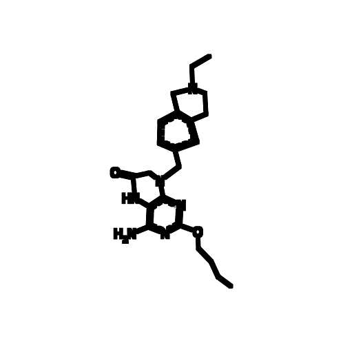 CCCCOc1nc(N)c2c(n1)N(Cc1ccc3c(c1)CCN(CC)C3)CC(=O)N2